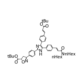 CCCCCCN(CCCCCC)C(=O)C=Cc1ccc(-c2[nH]c(-c3ccc(C4=NOC(C(=O)OC(C)(C)C)C4)cc3)nc2-c2ccc(/C=C/C(=O)OC(C)(C)C)cc2)cc1